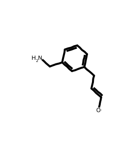 NCc1cccc(CC=C[O])c1